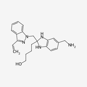 C=Cc1nn(CC2(CCCCO)Nc3ccc(CN)cc3N2)c2ccccc12